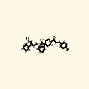 O=C(CCc1ccc(F)cc1)N1CCC(C(=O)NCCc2c[nH]c3ccccc23)(c2ccccc2)CC1